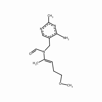 COCCC=C(C)N(C=O)Cc1cnc(C)nc1N